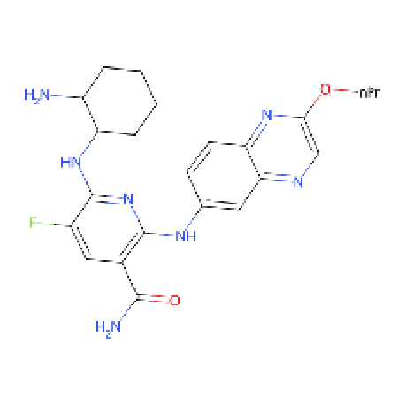 CCCOc1cnc2cc(Nc3nc(NC4CCCCC4N)c(F)cc3C(N)=O)ccc2n1